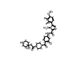 CCOc1ccc(-c2cnc(C(=O)Nc3ccc(C(=O)N4CCN(C(=O)CC5(O)CCNCC5)CC4)c(Cl)c3)n2C)c(F)c1F